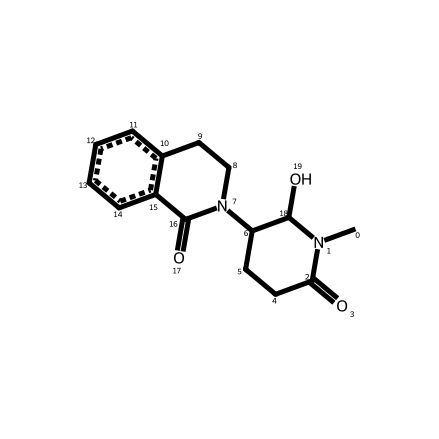 CN1C(=O)CCC(N2CCc3ccccc3C2=O)C1O